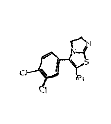 CC(C)C1=C(c2ccc(Cl)c(Cl)c2)N2CCN=C2S1